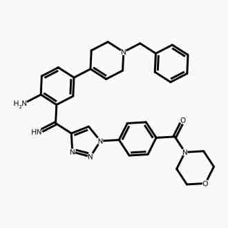 N=C(c1cn(-c2ccc(C(=O)N3CCOCC3)cc2)nn1)c1cc(C2=CCN(Cc3ccccc3)CC2)ccc1N